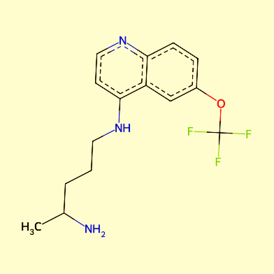 CC(N)CCCNc1ccnc2ccc(OC(F)(F)F)cc12